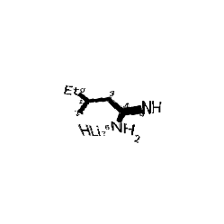 CCC(C)CC(=N)N.[LiH]